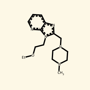 CCOCCn1c(CN2CCN(C)CC2)nc2cccnc21